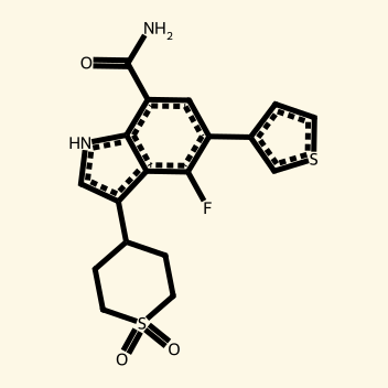 NC(=O)c1cc(-c2ccsc2)c(F)c2c(C3CCS(=O)(=O)CC3)c[nH]c12